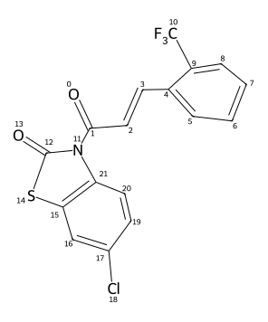 O=C(C=Cc1ccccc1C(F)(F)F)n1c(=O)sc2cc(Cl)ccc21